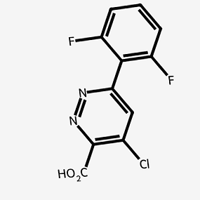 O=C(O)c1nnc(-c2c(F)cccc2F)cc1Cl